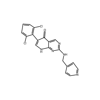 O=c1c(-c2c(Cl)cccc2Cl)c[nH]c2nc(NCc3ccncc3)ncc12